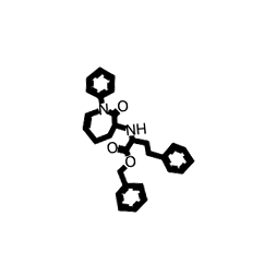 O=C(OCc1ccccc1)C(CCc1ccccc1)NC1CCC=CN(c2ccccc2)C1=O